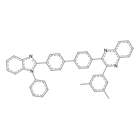 Cc1cc(C)cc(-c2nc3ccccc3nc2-c2ccc(-c3ccc(-c4nc5ccccc5n4-c4ccccc4)cc3)cc2)c1